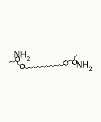 CCCc1cc(N)ccc1Cc1ccc(CCCCCCCCCCCCCCCCCc2ccc(Cc3ccc(N)cc3CCC)cc2)cc1